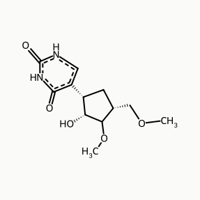 COC[C@H]1C[C@@H](c2c[nH]c(=O)[nH]c2=O)[C@@H](O)C1OC